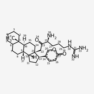 C[C@]12CCCCC1CC[C@H]1[C@H]3CC[C@H](c4ccc(=O)oc4)[C@@]3(CC(=O)[C@@H](N)CCCNC(=N)N)CC[C@@H]12